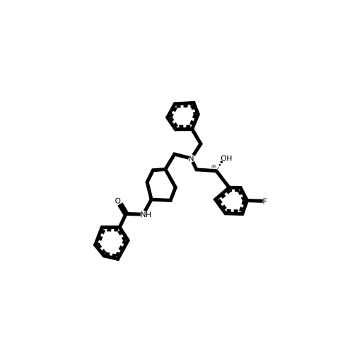 O=C(NC1CCC(CN(Cc2ccccc2)C[C@H](O)c2cccc(F)c2)CC1)c1ccccc1